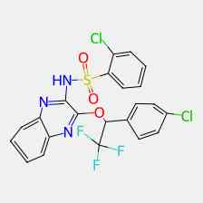 O=S(=O)(Nc1nc2ccccc2nc1OC(c1ccc(Cl)cc1)C(F)(F)F)c1ccccc1Cl